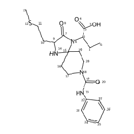 CCC(C(=O)O)N1C(=O)C(CCSC)NC12CCN(C(=O)Nc1ccccc1)CC2